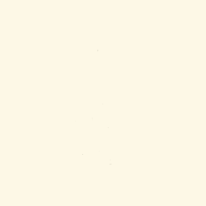 CCCCCc1cccc2[c]cccc12